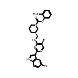 COc1ccccc1OC(=O)N1CCC[C@H](CNc2nc(-c3c[nH]c4ncc(Cl)cc34)ncc2F)C1